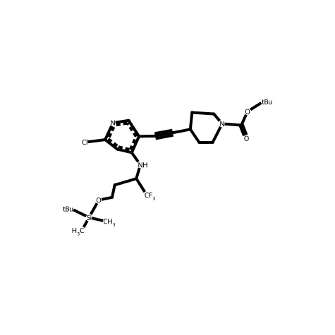 CC(C)(C)OC(=O)N1CCC(C#Cc2cnc(Cl)cc2NC(CCO[Si](C)(C)C(C)(C)C)C(F)(F)F)CC1